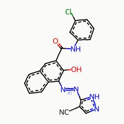 N#Cc1cn[nH]c1/N=N/c1c(O)c(C(=O)Nc2cccc(Cl)c2)cc2ccccc12